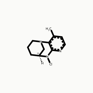 Cc1ccnc2c1N1CCC[C@@H](C1)N2Cl